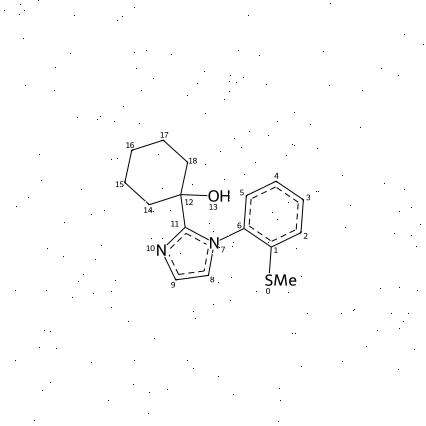 CSc1ccccc1-n1ccnc1C1(O)CCCCC1